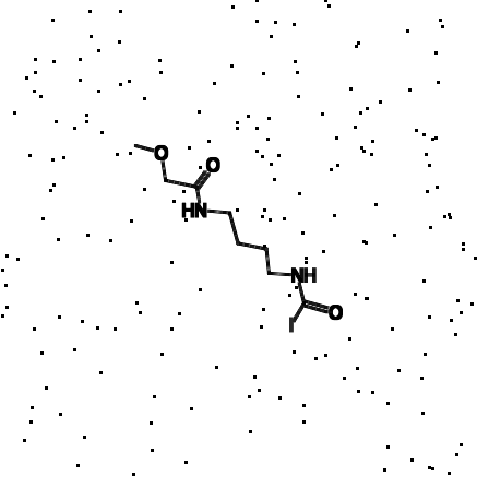 COCC(=O)NCCCCNC(=O)I